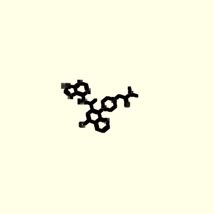 CC(Nc1ncnc2[nH]cnc12)c1cc(Cl)c2cccnc2c1N1CCN(CC(=O)N(C)C)CC1